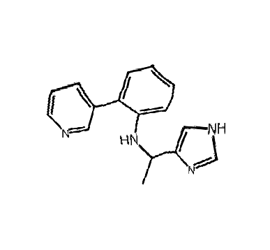 CC(Nc1ccccc1-c1cccnc1)c1c[nH]cn1